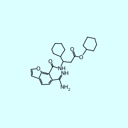 N=C(N)c1ccc2ccoc2c1C(=O)NC(CC(=O)OC1CCCCC1)C1CCCCC1